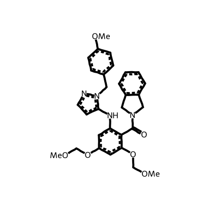 COCOc1cc(Nc2ccnn2Cc2ccc(OC)cc2)c(C(=O)N2Cc3ccccc3C2)c(OCOC)c1